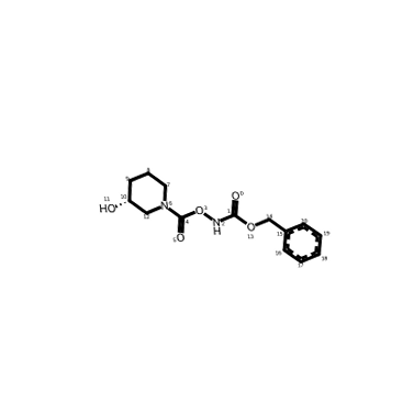 O=C(NOC(=O)N1CCC[C@@H](O)C1)OCc1ccccc1